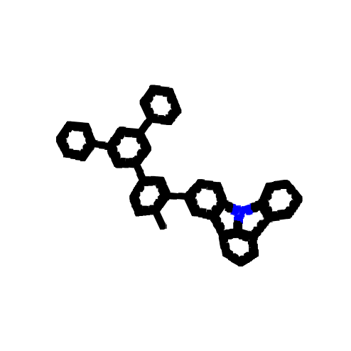 Cc1ccc(-c2cc(-c3ccccc3)cc(-c3ccccc3)c2)cc1-c1ccc2c(c1)c1cccc3c4ccccc4n2c31